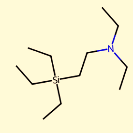 CCN(CC)CC[Si](CC)(CC)CC